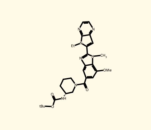 CCn1c(-c2nc3cc(C(=O)N4CCC[C@@H](NC(=O)OC(C)(C)C)C4)cc(OC)c3n2C)cc2nccnc21